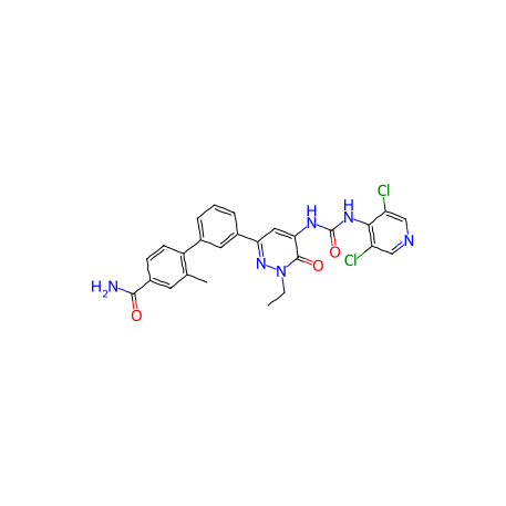 CCn1nc(-c2cccc(-c3ccc(C(N)=O)cc3C)c2)cc(NC(=O)Nc2c(Cl)cncc2Cl)c1=O